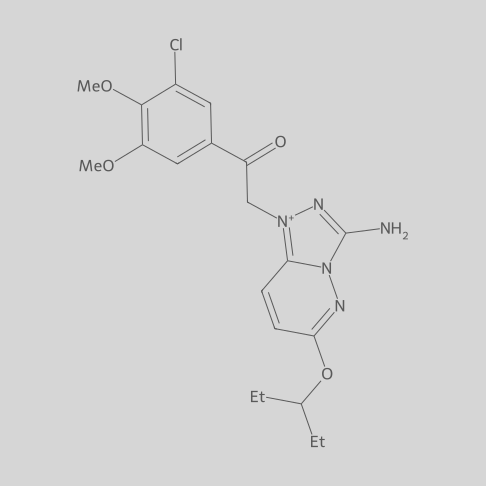 CCC(CC)Oc1ccc2n(n1)c(N)n[n+]2CC(=O)c1cc(Cl)c(OC)c(OC)c1